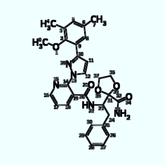 COc1c(C)cc(C)cc1-c1ccn(-c2ncccc2C(=O)NC(Cc2ccccc2)C2(C(N)=O)OCCO2)n1